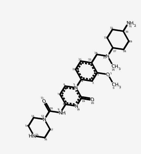 COc1cc(-n2ccc(NC(=O)N3CCNCC3)nc2=O)ccc1CN(C)C1CCC(N)CC1